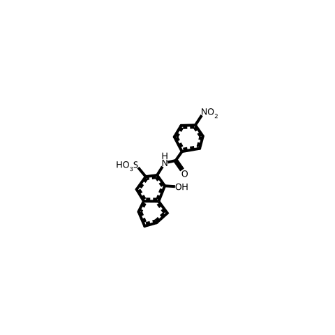 O=C(Nc1c(S(=O)(=O)O)cc2ccccc2c1O)c1ccc([N+](=O)[O-])cc1